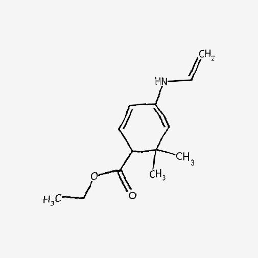 C=CNC1=CC(C)(C)C(C(=O)OCC)C=C1